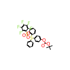 CC(C)(C)OC(=O)Oc1ccc(S(OS(=O)(=O)c2c(F)c(F)c(F)c(F)c2F)(c2ccccc2)c2ccccc2)cc1